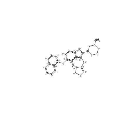 NC1CCCN(c2nc3cnn(Cc4nccc5ccccc45)c(=O)c3n2CC2=CCCC2)C1